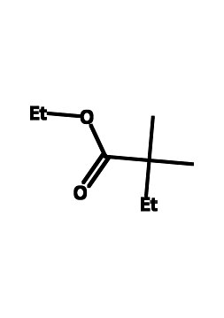 CCOC(=O)C(C)(C)CC